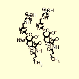 CSCC(=O)NC1C(=O)N2C(C(=O)[O-])=C(CSc3nnc(CNCS(=O)(=O)O)s3)CS[C@H]12.CSCC(=O)NC1C(=O)N2C(C(=O)[O-])=C(CSc3nnc(CNCS(=O)(=O)O)s3)CS[C@H]12.[Na+].[Na+]